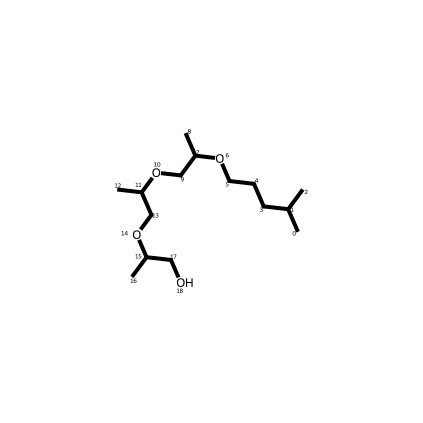 CC(C)CCCOC(C)COC(C)COC(C)CO